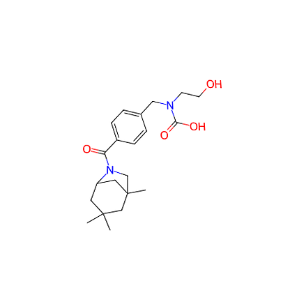 CC1(C)CC2CC(C)(CN2C(=O)c2ccc(CN(CCO)C(=O)O)cc2)C1